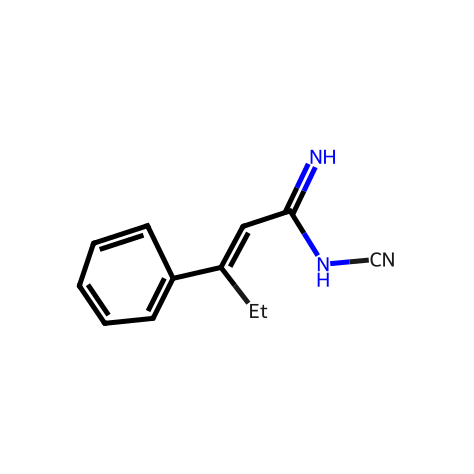 CCC(=CC(=N)NC#N)c1ccccc1